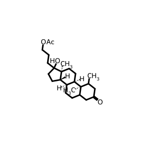 CC(=O)OCCCC1(O)CC[C@H]2[C@@H]3CCC4CC(=O)CC(C)[C@]4(C)[C@@H]3CC[C@@]21C